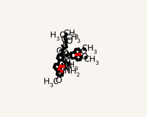 COc1ccc(CN(Cc2ccc(OC)cc2)S(=O)(=O)c2c(S(=O)(=O)C3CN(C(=O)OC(C)(C)C)C3)ccc(-c3cccc4nc(N)n(C)c34)c2-c2nnnn2Cc2ccc(OC)cc2)cc1